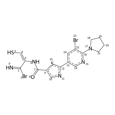 N=C(Br)/C(=C\S)NC(=O)c1cnc(-c2cnc(N3CCCC3)c(Br)c2)s1